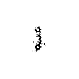 CC(C)(CCCC(=O)OC1CCOCC1)c1ccc(O)cc1